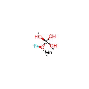 O[Si](O)(O)OF.[Mn]